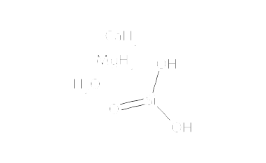 O.O=[Si](O)O.[CaH2].[MgH2]